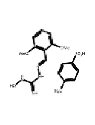 COc1cccc(OC)c1C=NNC(=N)NO.Cc1ccc(S(=O)(=O)O)cc1